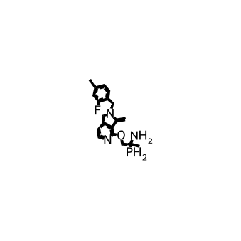 C=C1c2c(ccnc2OCC(C)(N)P)CN1Cc1ccc(C)cc1F